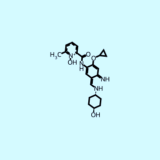 Cc1cccc(C(=O)NC2=C/C(=C/N[C@H]3CC[C@H](O)CC3)C(=N)C=C2OC2CC2)[n+]1O